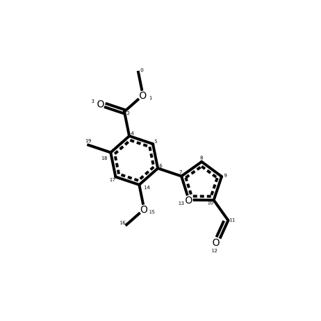 COC(=O)c1cc(-c2ccc(C=O)o2)c(OC)cc1C